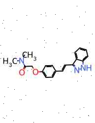 CN(C)C(=O)COc1ccc(C=Cc2n[nH]c3ccccc23)cc1